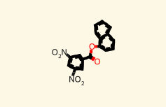 O=C(Oc1cccc2ccccc12)c1cc([N+](=O)[O-])cc([N+](=O)[O-])c1